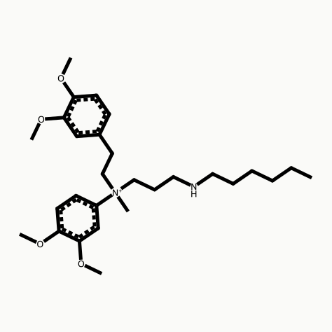 CCCCCCNCCC[N+](C)(CCc1ccc(OC)c(OC)c1)c1ccc(OC)c(OC)c1